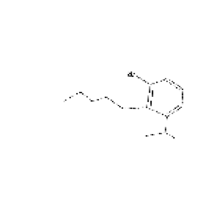 C[CH]CCCc1c(Br)cccc1C(C)C